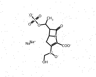 CC(OS(=O)(=O)[O-])C1C(=O)N2C(C(=O)[O-])=C([S+]([O-])CO)CC12.[Na+].[Na+]